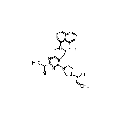 C=CC(=O)N1CCN(c2nc(C(C)C)nc3c2CCN(c2cccc4cccc(C)c24)C3)CC1